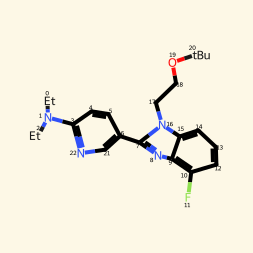 CCN(CC)c1ccc(-c2nc3c(F)cccc3n2CCOC(C)(C)C)cn1